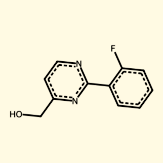 OCc1ccnc(-c2ccccc2F)n1